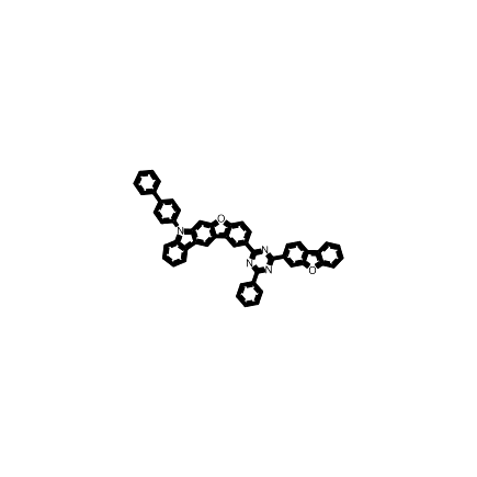 c1ccc(-c2ccc(-n3c4ccccc4c4cc5c(cc43)oc3ccc(-c4nc(-c6ccccc6)nc(-c6ccc7c(c6)oc6ccccc67)n4)cc35)cc2)cc1